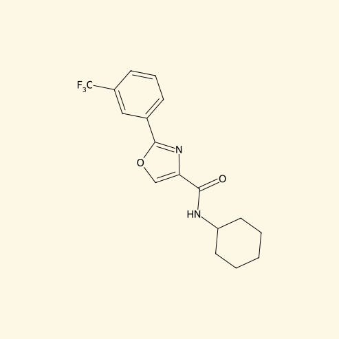 O=C(NC1CCCCC1)c1coc(-c2cccc(C(F)(F)F)c2)n1